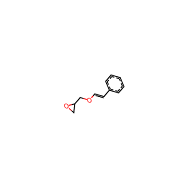 C(=C\c1ccccc1)/OCC1CO1